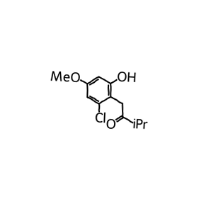 COc1cc(O)c(CC(=O)C(C)C)c(Cl)c1